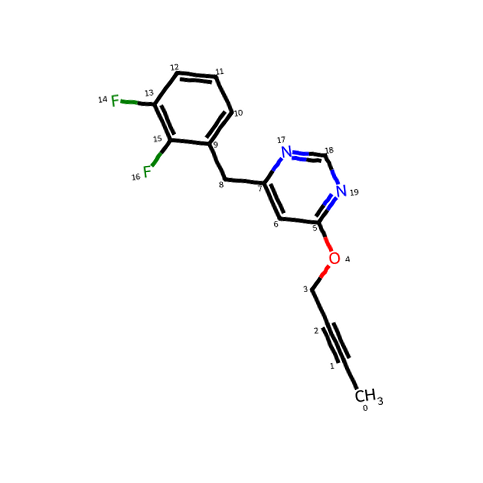 CC#CCOc1cc(Cc2cccc(F)c2F)ncn1